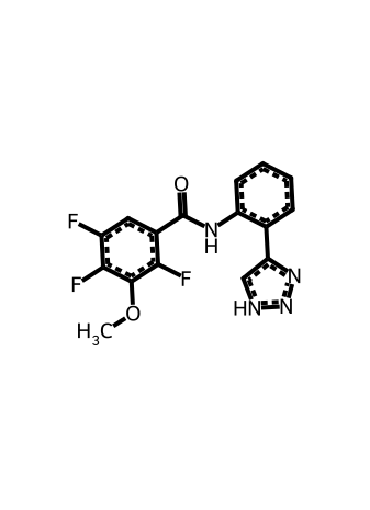 COc1c(F)c(F)cc(C(=O)Nc2ccccc2-c2c[nH]nn2)c1F